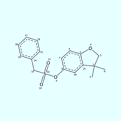 CC1(C)COc2ccc(OS(=O)(=O)Cc3ccccc3)cc21